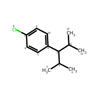 CC(C)C(c1ccc(Cl)cc1)C(C)C